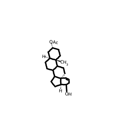 CC(=O)O[C@@H]1CC[C@]2(C)C3CC[C@]45C=CCC(O)[C@H]4CCC5C3CC[C@H]2C1